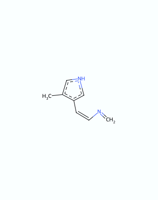 C=N/C=C\c1c[nH]cc1C